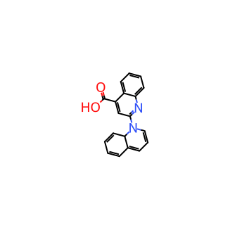 O=C(O)c1cc(N2C=CC=C3C=CC=CC32)nc2ccccc12